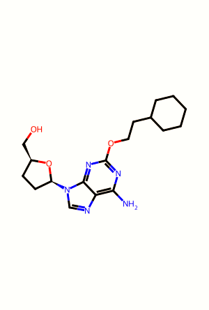 Nc1nc(OCCC2CCCCC2)nc2c1ncn2[C@H]1CC[C@@H](CO)O1